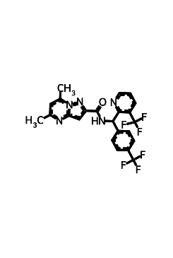 Cc1cc(C)n2nc(C(=O)NC(c3ccc(C(F)(F)F)cc3)c3ncccc3C(F)(F)F)cc2n1